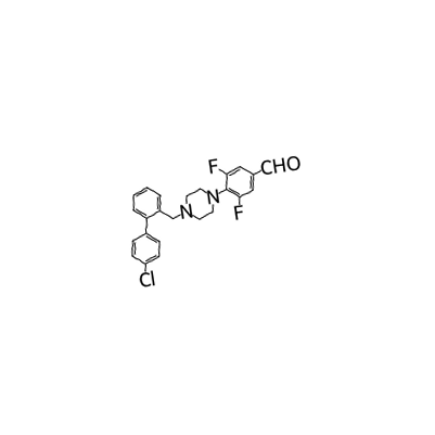 O=Cc1cc(F)c(N2CCN(Cc3ccccc3-c3ccc(Cl)cc3)CC2)c(F)c1